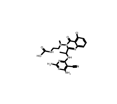 CC(Nc1nc(N)nc(N)c1C#N)c1nc2cccc(Cl)c2c(=O)n1N(C)CCNC(=O)O